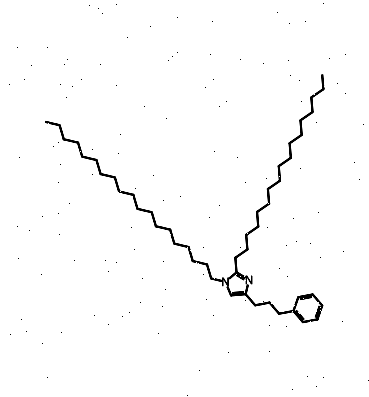 CCCCCCCCCCCCCCCCCCCn1cc(CCCc2ccccc2)nc1CCCCCCCCCCCCCCCCC